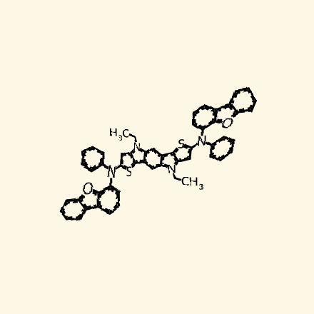 CCn1c2cc3c4sc(N(c5ccccc5)c5cccc6c5oc5ccccc56)cc4n(CC)c3cc2c2sc(N(c3ccccc3)c3cccc4c3oc3ccccc34)cc21